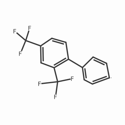 FC(F)(F)c1ccc(-c2cc[c]cc2)c(C(F)(F)F)c1